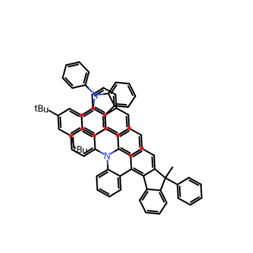 CC(C)(C)c1cc(-c2cccc3cccc(-c4ccccc4N(c4ccccc4-c4cccc5c4-c4ccccc4C5(C)c4ccccc4)c4ccccc4-c4cccc5c4c4ccccc4n5-c4ccccc4)c23)cc(C(C)(C)C)c1